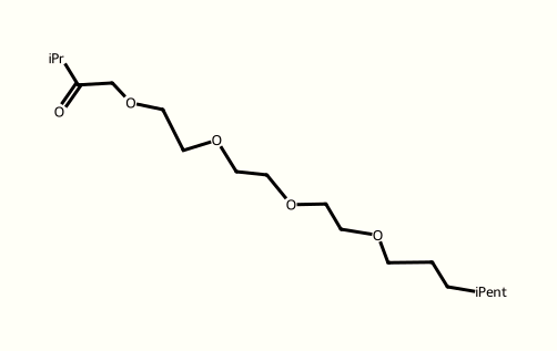 CCCC(C)CCCOCCOCCOCCOCC(=O)C(C)C